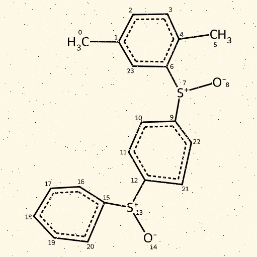 Cc1ccc(C)c([S+]([O-])c2ccc([S+]([O-])c3ccccc3)cc2)c1